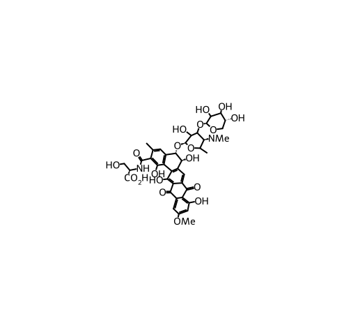 CN[C@H]1C(C)O[C@@H](O[C@H]2c3cc(C)c(C(=O)N[C@H](CO)C(=O)O)c(O)c3-c3c(cc4c(c3O)C(=O)c3cc(OC)cc(O)c3C4=O)[C@@H]2O)C(O)C1O[C@@H]1OC[C@@H](O)C(O)C1O